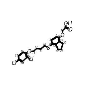 O=C(O)COc1ccc(SCCCCOc2ccc(Cl)cc2Cl)c2c1CCC2